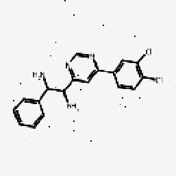 NC(c1ccccc1)C(N)c1cc(-c2ccc(Cl)c(Cl)c2)ncn1